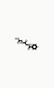 O=C(O)CNC(=O)CNC(=O)c1ccccc1